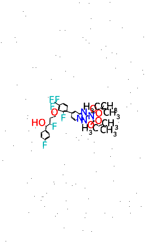 CC(C)(C)OC(=O)N(C(=O)OC(C)(C)C)c1nc2cc(-c3ccc(C(F)(F)F)c(OCCC(F)C(O)c4ccc(F)cc4)c3F)ccn2n1